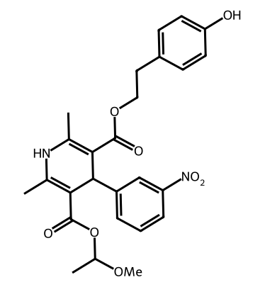 COC(C)OC(=O)C1=C(C)NC(C)=C(C(=O)OCCc2ccc(O)cc2)C1c1cccc([N+](=O)[O-])c1